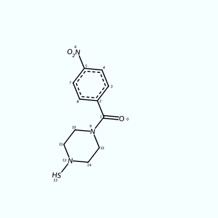 O=C(c1ccc([N+](=O)[O-])cc1)N1CCN(S)CC1